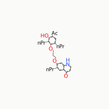 CCCc1cc2c(=O)cc[nH]c2cc1OCCCOc1c(CCC)cc(C(C)=O)c(O)c1CCC